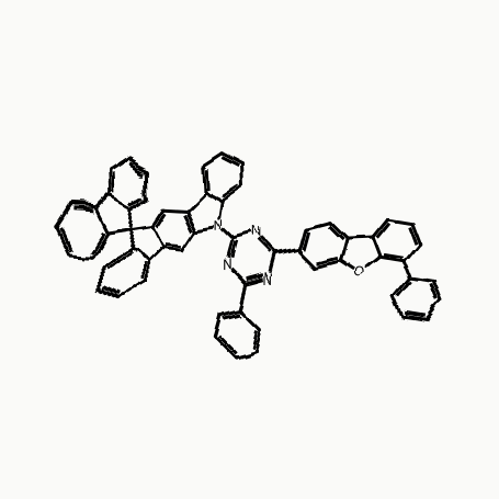 c1ccc(-c2nc(-c3ccc4c(c3)oc3c(-c5ccccc5)cccc34)nc(-n3c4ccccc4c4cc5c(cc43)-c3ccccc3C53c4ccccc4-c4ccccc43)n2)cc1